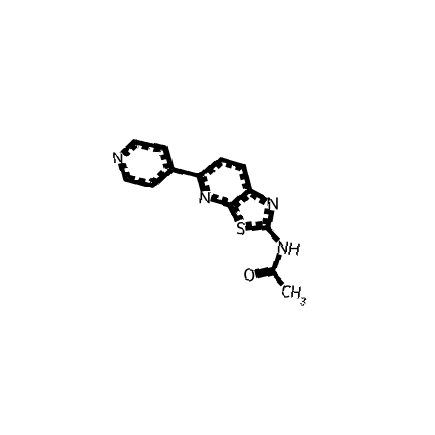 CC(=O)Nc1nc2ccc(-c3ccncc3)nc2s1